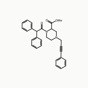 COC(=O)C1CN(CC#Cc2ccccc2)CCN1C(=O)C(c1ccccc1)c1ccccc1